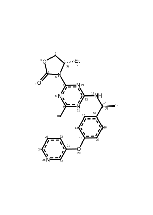 CC[C@H]1COC(=O)N1c1nc(C)nc(N[C@@H](C)c2ccc(Oc3cccnc3)cc2)n1